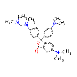 CN(C)CN(C)c1ccc(C2(c3ccc(N(C)C)cc3)OC(=O)c3cc(N(C)C)ccc32)cc1